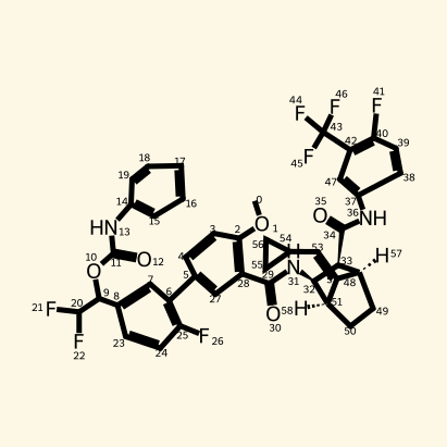 COc1ccc(-c2cc(C(OC(=O)Nc3ccccc3)C(F)F)ccc2F)cc1C(=O)N[C@H]1[C@@H](C(=O)Nc2ccc(F)c(C(F)(F)F)c2)[C@H]2CC[C@@H]1/C2=C\C1CC1